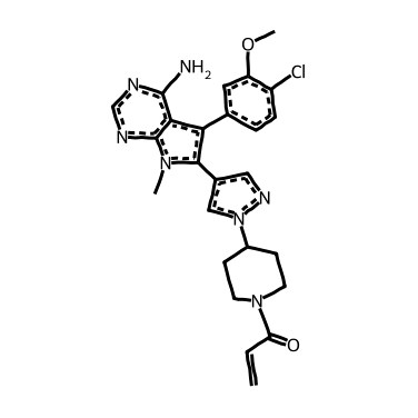 C=CC(=O)N1CCC(n2cc(-c3c(-c4ccc(Cl)c(OC)c4)c4c(N)ncnc4n3C)cn2)CC1